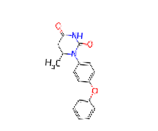 CC1CC(=O)NC(=O)N1c1ccc(Oc2ccccc2)cc1